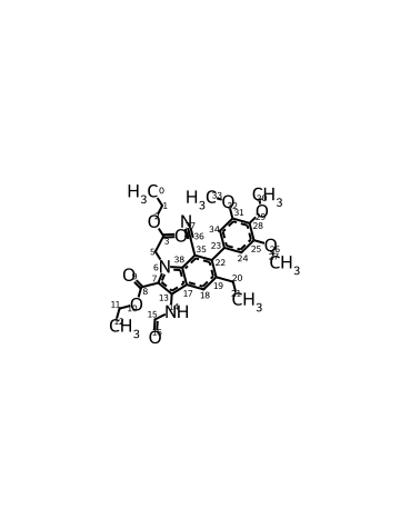 CCOC(=O)Cn1c(C(=O)OCC)c(NC=O)c2cc(CC)c(-c3cc(OC)c(OC)c(OC)c3)c(C#N)c21